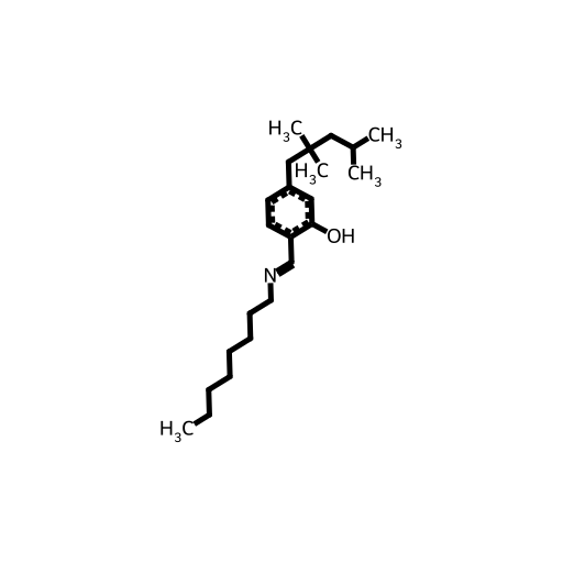 CCCCCCCCN=Cc1ccc(CC(C)(C)CC(C)C)cc1O